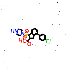 O=C(O)C1Cc2c(-c3ccc(Cl)cc3)cccc2C1S(=O)(=O)N1CCNCC1